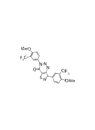 COc1ccc(-c2nsc3c(=O)n(-c4ccc(OC)c(C(F)(F)F)c4)nnc23)cc1C(F)(F)F